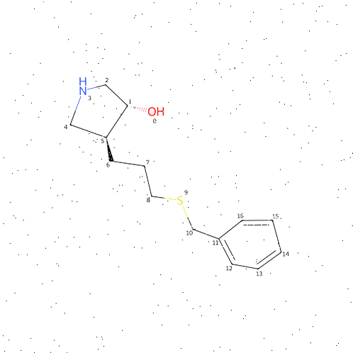 O[C@H]1CNC[C@@H]1CCCSCc1ccccc1